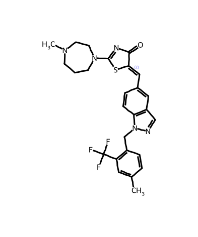 Cc1ccc(Cn2ncc3cc(/C=C4\SC(N5CCCN(C)CC5)=NC4=O)ccc32)c(C(F)(F)F)c1